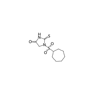 O=C1CN(S(=O)(=O)C2CCCCCC2)C(=S)N1